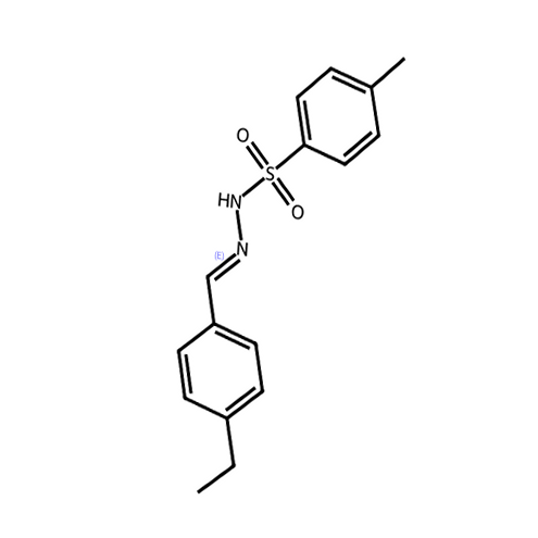 CCc1ccc(/C=N/NS(=O)(=O)c2ccc(C)cc2)cc1